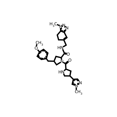 COc1ccc(CC2CC(C(=O)NCC3=Cc4nnn(C)c4CC3)N(C(=O)C3CC(c4cnn(C)c4)CN3)C2)cc1